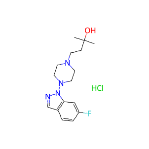 CC(C)(O)CCN1CCN(n2ncc3ccc(F)cc32)CC1.Cl